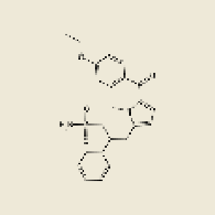 CCOc1ccc(C(=O)c2ccc(CC(CS(N)(=O)=O)c3ccccc3)n2C)cc1